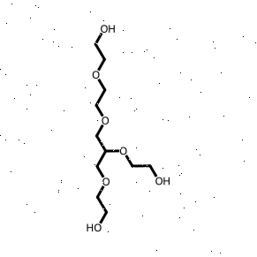 OCCOCCOCC(COCCO)OCCO